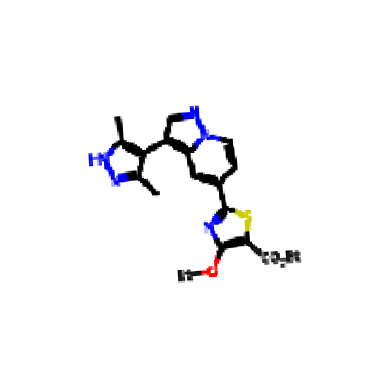 CCOC(=O)c1sc(-c2ccn3ncc(-c4c(C)n[nH]c4C)c3c2)nc1OCC